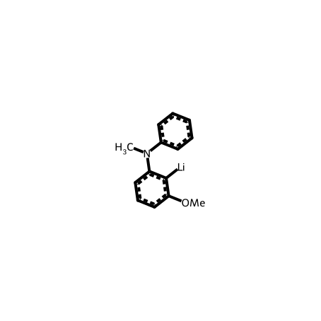 [Li][c]1c(OC)cccc1N(C)c1ccccc1